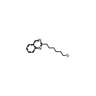 [S]CCCCCCc1ncc2ccccc2n1